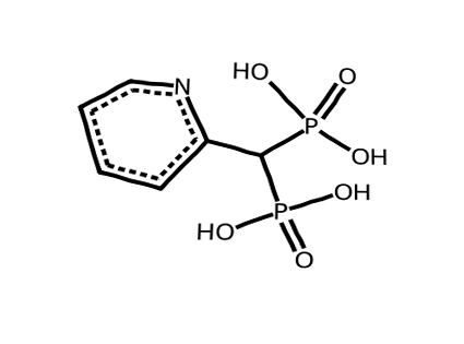 O=P(O)(O)C(c1ccccn1)P(=O)(O)O